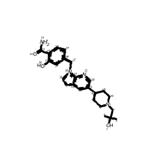 CC(C)(O)CN1CCC(c2cnc3c(ccn3Cc3ccc(C(N)=O)c(O)c3)c2)CC1